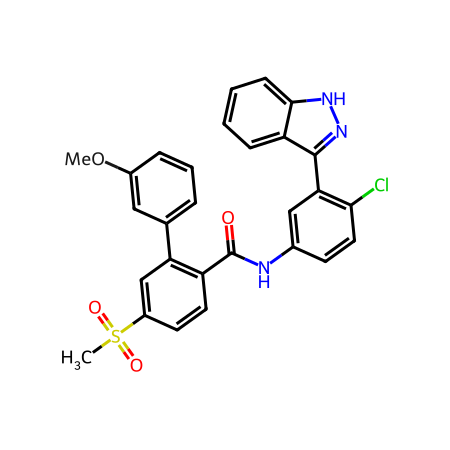 COc1cccc(-c2cc(S(C)(=O)=O)ccc2C(=O)Nc2ccc(Cl)c(-c3n[nH]c4ccccc34)c2)c1